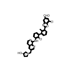 Cc1c(-c2nc3cc(C=O)cc(Cl)c3o2)cccc1-c1cccc(Nc2nccc3cc(CN4CC[C@H](O)C4)cnc23)c1Cl